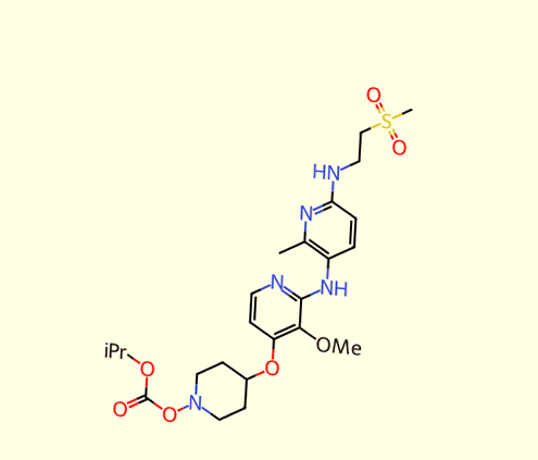 COc1c(OC2CCN(OC(=O)OC(C)C)CC2)ccnc1Nc1ccc(NCCS(C)(=O)=O)nc1C